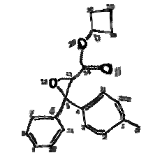 Cc1ccc(C2(c3ccccc3)OC2C(=O)OC2CCC2)cc1